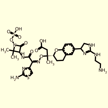 CC(CC(=O)O)(O/N=C(\C(=O)NC1C(=O)N(OS(=O)(=O)O)C1(C)C)c1csc(N)n1)[C@H]1CCc2cc(C3CNC(NCCN)=N3)ccc2O1